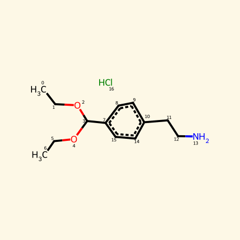 CCOC(OCC)c1ccc(CCN)cc1.Cl